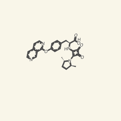 C[C@H]1CC[C@H](C)N1c1c(N[C@@H](Cc2ccc(Oc3nccc4ccncc34)cc2)C(=O)O)c(=O)c1=O